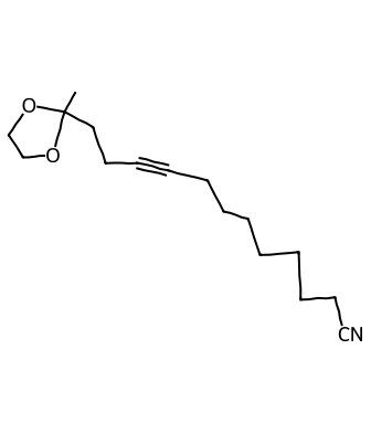 CC1(CCC#CCCCCCCCC#N)OCCO1